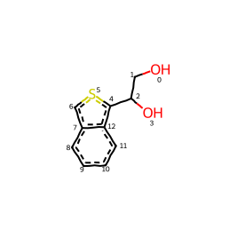 OCC(O)c1scc2ccccc12